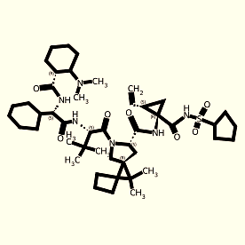 C=C[C@@H]1C[C@]1(NC(=O)[C@@H]1C[C@@]2(CN1C(=O)[C@@H](NC(=O)[C@@H](NC(=O)[C@@H]1CCCCC1N(C)C)C1CCCCC1)C(C)(C)C)C(C)(C)C21CCC1)C(=O)NS(=O)(=O)C1CCCC1